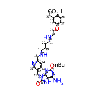 CCCCOc1nc(N)c2[nH]c(=O)n(Cc3ccc(CNCCCCNCCOc4cccc(CC(=O)O)c4)nc3)c2n1